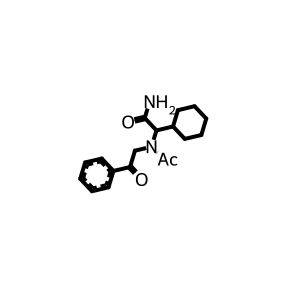 CC(=O)N(CC(=O)c1ccccc1)C(C(N)=O)C1CCCCC1